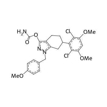 COc1ccc(Cn2nc(OC(N)=O)c3c2CC(c2c(Cl)c(OC)cc(OC)c2Cl)CC3)cc1